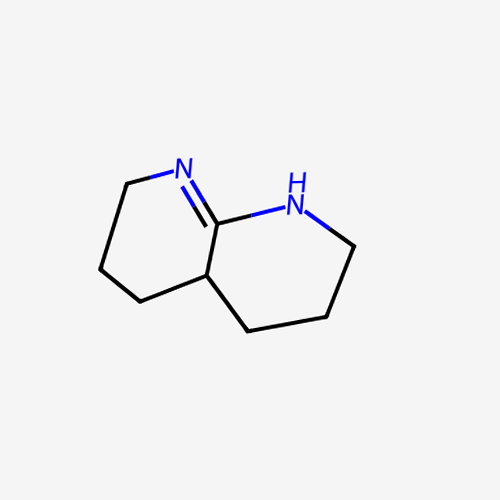 C1CN=C2NCCCC2C1